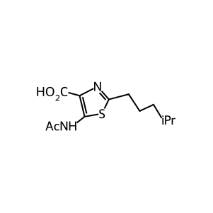 CC(=O)Nc1sc(CCCC(C)C)nc1C(=O)O